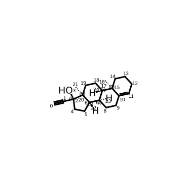 C#C[C@@]1(O)CC[C@H]2[C@@H]3CCC4=CCCC[C@]4(C)[C@H]3CC[C@@]21C